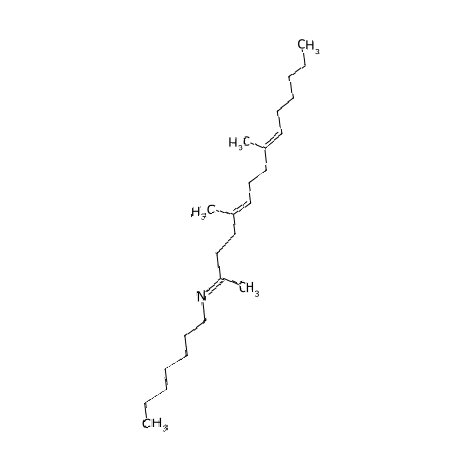 CCCCC/C=C(\C)CC/C=C(\C)CC/C(C)=N/CCCCCCC